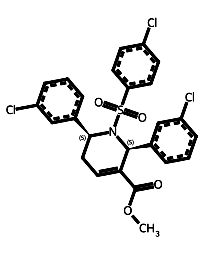 COC(=O)C1=CC[C@@H](c2cccc(Cl)c2)N(S(=O)(=O)c2ccc(Cl)cc2)[C@H]1c1cccc(Cl)c1